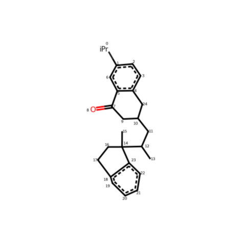 CC(C)c1ccc2c(c1)C(=O)CC(CC(C)C1(C)CCc3ccccc31)C2